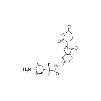 Nc1ncc(C(F)(F)C(=O)NCc2ccc3c(c2)CN(C2CCC(=O)NC2=O)C3=O)cn1